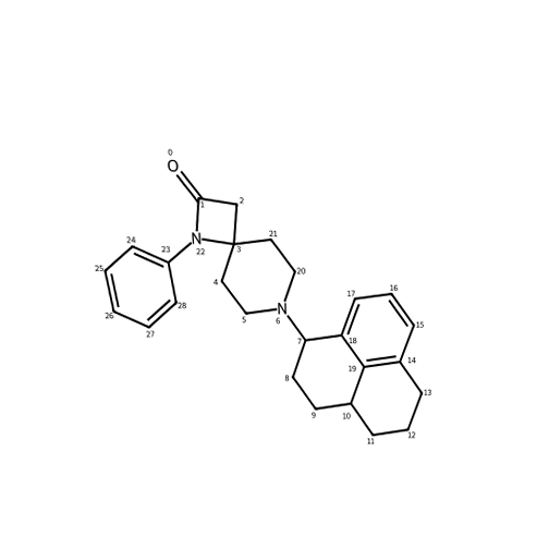 O=C1CC2(CCN(C3CCC4CCCc5cccc3c54)CC2)N1c1ccccc1